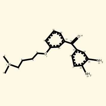 CN(C)CCCCOc1cccc(C(=O)c2ccc(N)c(N)c2)c1